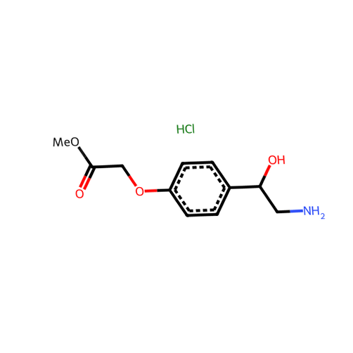 COC(=O)COc1ccc(C(O)CN)cc1.Cl